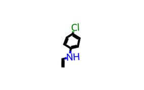 C=CNc1ccc(Cl)cc1